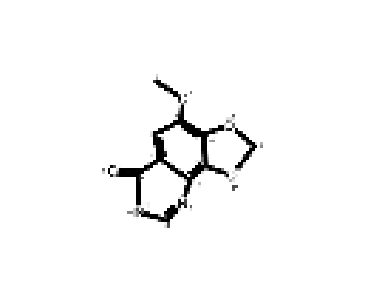 COc1cc2c(=O)[nH]cnc2c2c1OCO2